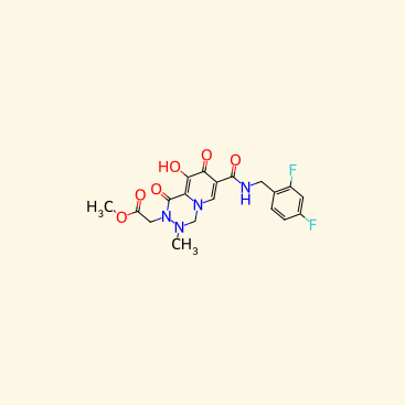 COC(=O)CN1C(=O)c2c(O)c(=O)c(C(=O)NCc3ccc(F)cc3F)cn2CN1C